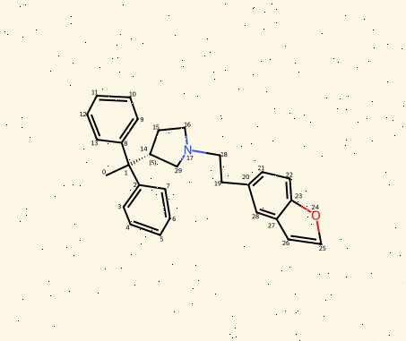 CC(c1ccccc1)(c1ccccc1)[C@@H]1CCN(CCc2ccc3occc3c2)C1